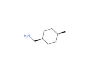 C[C@H]1CC[C@@H](CN)CC1